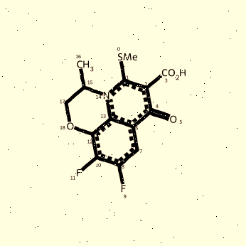 CSc1c(C(=O)O)c(=O)c2cc(F)c(F)c3c2n1C(C)CO3